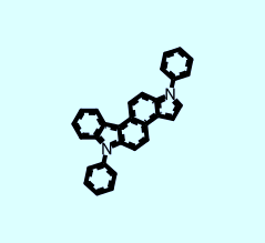 c1ccc(-n2ccc3c4ccc5c(c4ccc32)c2ccccc2n5-c2ccccc2)cc1